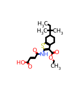 CCOC(=O)c1c(NC(=O)/C=C/C(=O)O)sc2c1CCC(C(C)(C)CC)C2